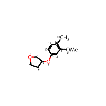 COc1cc(O[C@H]2CCOC2)ccc1C